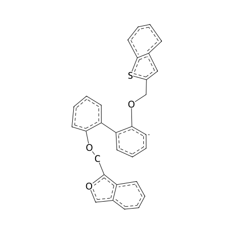 [c]1cccc(-c2ccccc2OCc2occ3ccccc23)c1OCc1cc2ccccc2s1